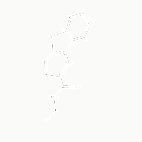 CCNC(=O)c1ccc2c(c1)-c1ccccc1C2